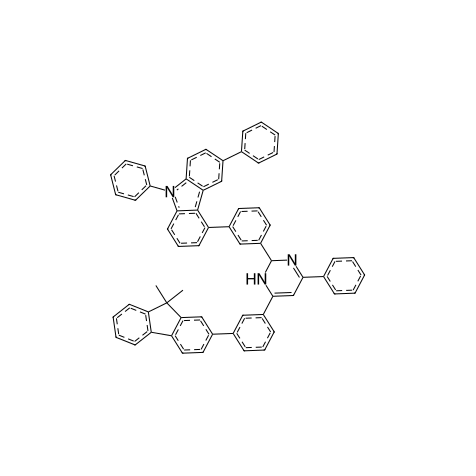 CC1(C)c2ccccc2-c2ccc(-c3cccc(C4=CC(c5ccccc5)=NC(c5cccc(-c6cccc7c6c6cc(-c8ccccc8)ccc6n7-c6ccccc6)c5)N4)c3)cc21